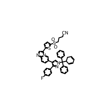 N#CCCCS(=O)(=O)c1ccc(-c2cnc3ccc(-c4cn(C(c5ccccc5)(c5ccccc5)C5C=CC=CC5)nc4-c4ccc(F)cc4)cn23)s1